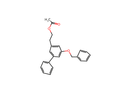 CC(=O)OCCc1cc(OCc2ccccc2)cc(-c2ccccc2)c1